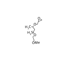 COCCO[SiH2]CC(C)OCC1CO1